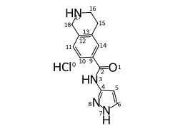 Cl.O=C(Nc1cc[nH]n1)c1ccc2c(c1)CCNC2